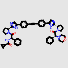 O=C(N[C@@H](C(=O)N1CCC[C@H]1c1ncc(-c2ccc(C#Cc3ccc(-c4cnc([C@@H]5CCCN5C(=O)[C@@H](c5ccccc5)N5CCOCC5)[nH]4)cc3)cc2)[nH]1)c1ccccc1)C1CC1